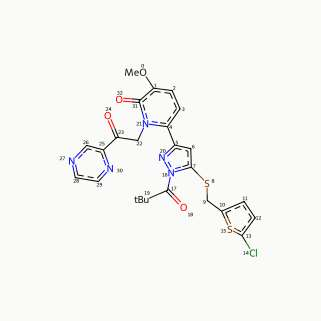 COc1ccc(-c2cc(SCc3ccc(Cl)s3)n(C(=O)C(C)(C)C)n2)n(CC(=O)c2cnccn2)c1=O